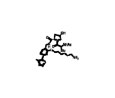 CC(=O)N[C@H](C(=O)N1C[C@H](O)C[C@H]1C(=O)NCc1ccc(-c2scnc2C)cc1OCCCCCCN)C(C)(C)C